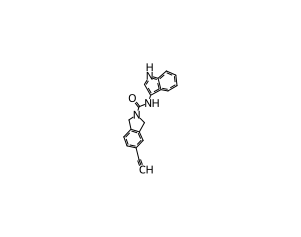 C#Cc1ccc2c(c1)CN(C(=O)Nc1c[nH]c3ccccc13)C2